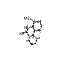 CSc1ncnc2c1[nH]c(=O)c1ccccc12